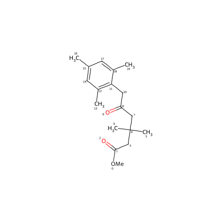 COC(=O)CC(C)(C)CC(=O)Cc1c(C)cc(C)cc1C